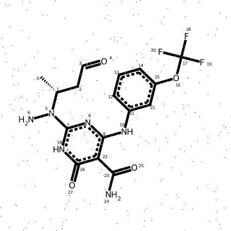 C[C@H](CC=O)N(N)c1nc(Nc2cccc(OC(F)(F)F)c2)c(C(N)=O)c(=O)[nH]1